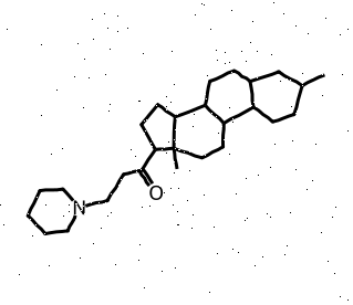 CC1CCC2C(CCC3C2CCC2(C)C(C(=O)CCN4CCCCC4)CCC32)C1